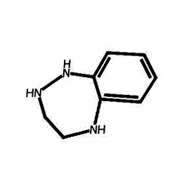 c1ccc2c(c1)NCCNN2